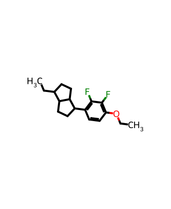 CCOc1ccc(C2CCC3C(CC)CCC23)c(F)c1F